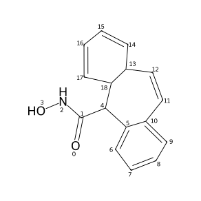 O=C(NO)C1c2ccccc2C=CC2C=CC=CC21